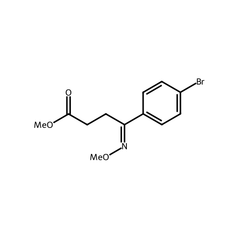 CON=C(CCC(=O)OC)c1ccc(Br)cc1